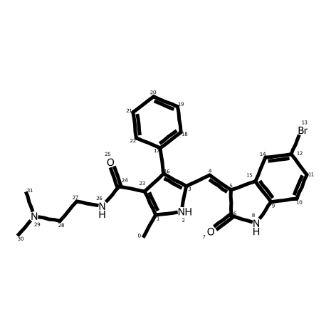 Cc1[nH]c(C=C2C(=O)Nc3ccc(Br)cc32)c(-c2ccccc2)c1C(=O)NCCN(C)C